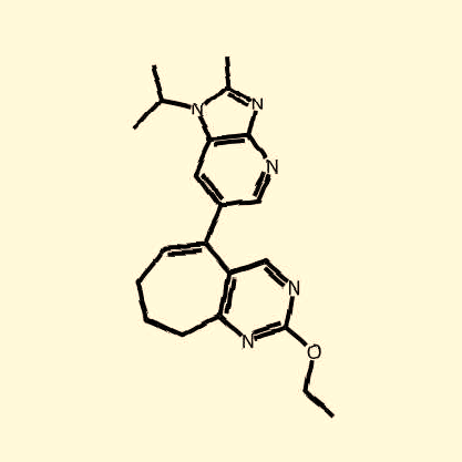 CCOc1ncc2c(n1)CCCC=C2c1cnc2nc(C)n(C(C)C)c2c1